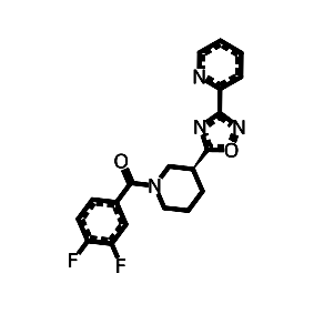 O=C(c1ccc(F)c(F)c1)N1CCC[C@H](c2nc(-c3ccccn3)no2)C1